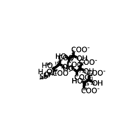 O=C([O-])C(O)C(O)C(=O)[O-].O=C([O-])C(O)C(O)C(=O)[O-].O=C([O-])C(O)C(O)C(=O)[O-].O=C([O-])C(O)C(O)C(=O)[O-].[Cr+3].[OH4+2].[Sb+3]